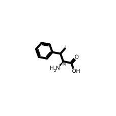 N[C@H](C(=O)O)C(I)c1ccccc1